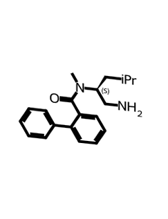 CC(C)C[C@@H](CN)N(C)C(=O)c1ccccc1-c1ccccc1